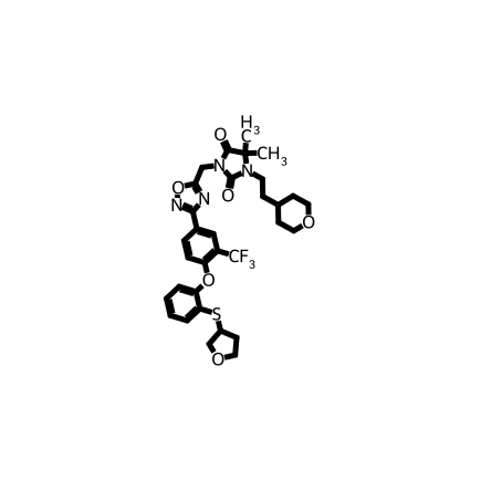 CC1(C)C(=O)N(Cc2nc(-c3ccc(Oc4ccccc4SC4CCOC4)c(C(F)(F)F)c3)no2)C(=O)N1CCC1CCOCC1